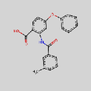 Cc1cccc(C(=O)Nc2cc(Oc3ccccc3)ccc2C(=O)O)c1